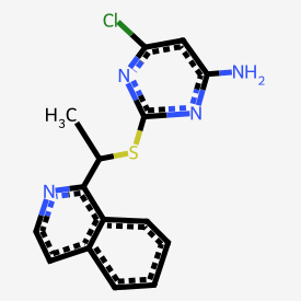 CC(Sc1nc(N)cc(Cl)n1)c1nccc2ccccc12